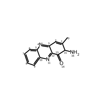 CC1=Cc2nc3ccccc3nc2C(=O)C1N